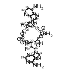 BP1(=O)OC[C@H]2O[C@@H](n3cnc4c(N)ncnc43)[C@H](F)[C@@H]2OP(=O)(O)OC[C@H]2O[C@@H](n3cnc4c(N)ccnc43)[C@H](O1)C2F